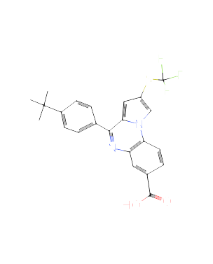 CC(C)(C)c1ccc(-c2nc3cc(C(=O)O)ccc3n3cc(SC(F)(F)F)cc23)cc1